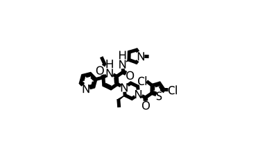 CCOC1(c2cccnc2)C=CC(N2CCN(C(=O)c3sc(Cl)cc3Cl)C[C@H]2CC)=C(C(=O)N[C@@H]2CCN(C)C2)N1